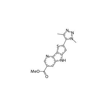 COC(=O)c1cnc2c(c1)[nH]c1cc(-c3c(C)nnn3C)sc12